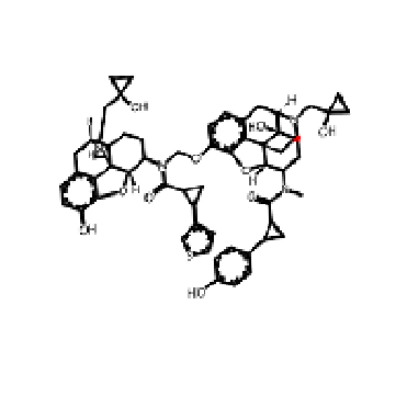 CN(C(=O)C1CC1c1ccc(O)cc1)C1CC[C@@]2(O)[C@H]3Cc4ccc(OCN(C(=O)C5CC5c5ccsc5)C5CC[C@@]6(O)[C@H]7Cc8ccc(O)c9c8[C@@]6(CCN7CC6(O)CC6)[C@H]5O9)c5c4[C@@]2(CCN3CC2(O)CC2)[C@H]1O5